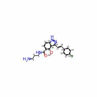 COc1c(C(=O)NCCCN)ccc2[nH]nc(/C=C/c3ccc(F)cc3)c12